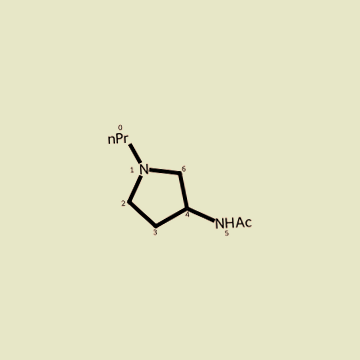 CCCN1CCC(NC(C)=O)C1